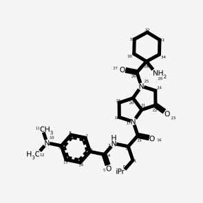 CC(C)CC(NC(=O)c1ccc(N(C)C)cc1)C(=O)N1CCC2C1C(=O)CN2C(=O)C1(N)CCCCC1